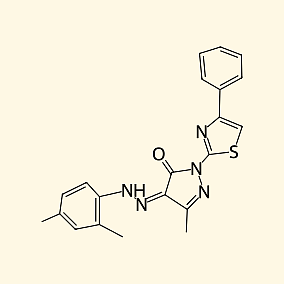 CC1=NN(c2nc(-c3ccccc3)cs2)C(=O)/C1=N\Nc1ccc(C)cc1C